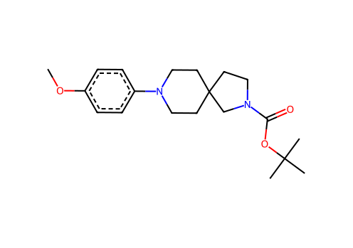 COc1ccc(N2CCC3(CCN(C(=O)OC(C)(C)C)C3)CC2)cc1